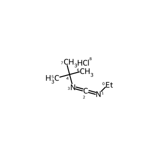 CCN=C=NC(C)(C)C.Cl